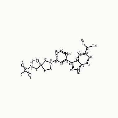 CS(=O)(=O)NCC1(O)CCN(c2cc(-c3cnc4ccc(C(F)F)nn34)ncn2)C1